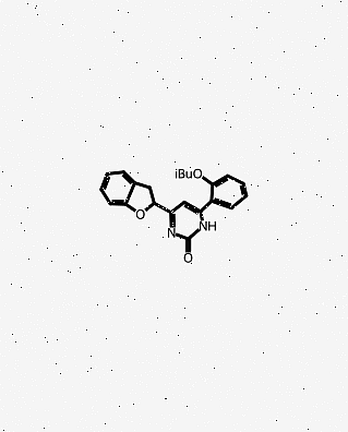 CC(C)COc1ccccc1-c1cc(C2Cc3ccccc3O2)nc(=O)[nH]1